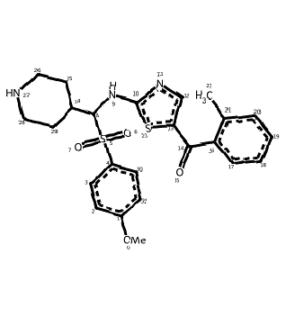 COc1ccc(S(=O)(=O)C(Nc2ncc(C(=O)c3ccccc3C)s2)C2CCNCC2)cc1